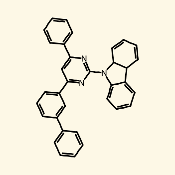 C1=CC2c3ccccc3N(c3nc(-c4ccccc4)cc(-c4cccc(-c5ccccc5)c4)n3)C2C=C1